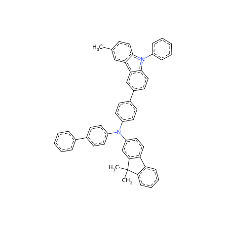 Cc1ccc2c(c1)c1cc(-c3ccc(N(c4ccc(-c5ccccc5)cc4)c4ccc5c(c4)C(C)(C)c4ccccc4-5)cc3)ccc1n2-c1ccccc1